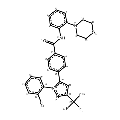 O=C(Nc1ccccc1N1CCOCC1)c1ccc(-c2cc(C(F)(F)F)nn2-c2ccccc2Cl)cc1